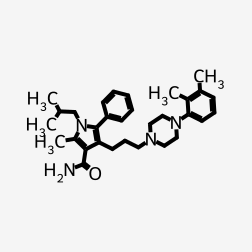 Cc1cccc(N2CCN(CCCc3c(C(N)=O)c(C)n(CC(C)C)c3-c3ccccc3)CC2)c1C